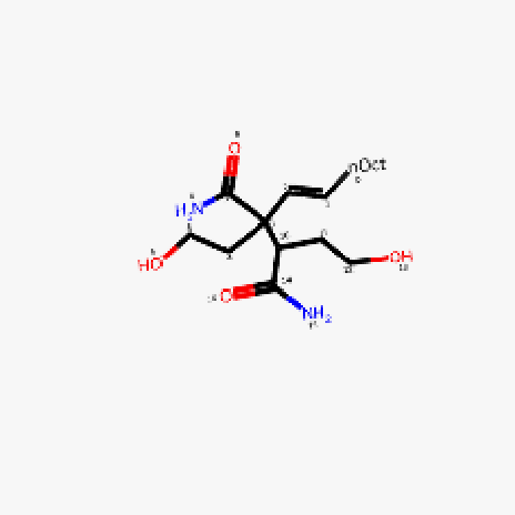 CCCCCCCCC=CC(CCO)(C(N)=O)C(CCO)C(N)=O